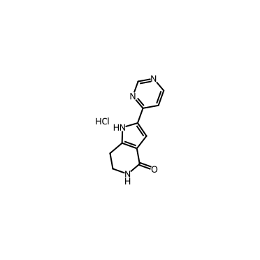 Cl.O=C1NCCc2[nH]c(-c3ccncn3)cc21